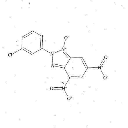 O=[N+]([O-])c1cc([N+](=O)[O-])c2nn(-c3cccc(Cl)c3)[n+]([O-])c2c1